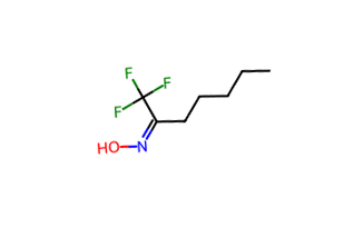 CCCCC/C(=N/O)C(F)(F)F